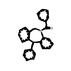 O=C(c1ccccc1)N1Cc2ccccc2C(c2ccccc2)c2ccccc21